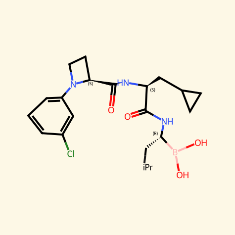 CC(C)C[C@H](NC(=O)[C@H](CC1CC1)NC(=O)[C@@H]1CCN1c1cccc(Cl)c1)B(O)O